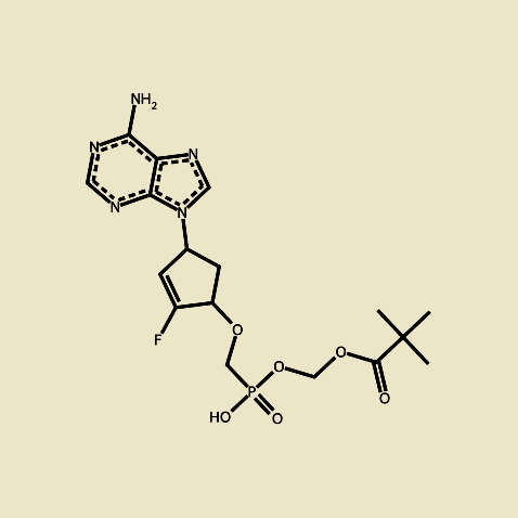 CC(C)(C)C(=O)OCOP(=O)(O)COC1CC(n2cnc3c(N)ncnc32)C=C1F